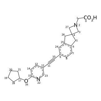 O=C(O)CN1CC2(Cc3ccc(C#Cc4ccc(OC5CCCC5)nc4)cc3C2)C1